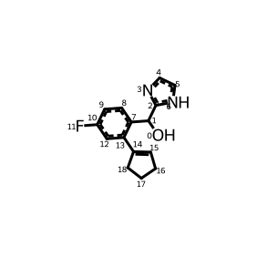 OC(c1ncc[nH]1)c1ccc(F)cc1C1=CCCC1